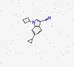 N#Cc1cn(C2CCC2)c2cc(C3CC3)ccc12